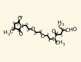 CC(C=O)CC(=O)N(C)CCOCCOCCN1C(=O)CC(C)C1=O